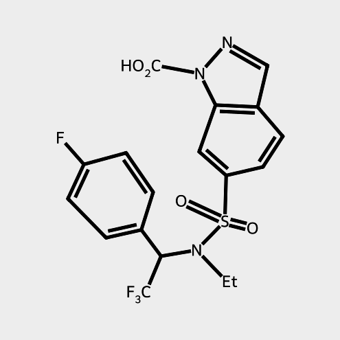 CCN(C(c1ccc(F)cc1)C(F)(F)F)S(=O)(=O)c1ccc2cnn(C(=O)O)c2c1